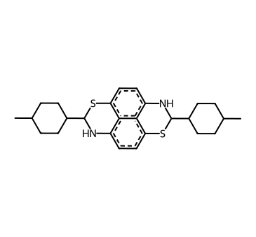 CC1CCC(C2Nc3ccc4c5c(ccc(c35)S2)NC(C2CCC(C)CC2)S4)CC1